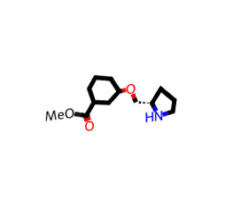 COC(=O)C1CCCC(OC[C@@H]2CCCN2)C1